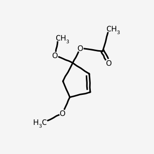 COC1C=CC(OC)(OC(C)=O)C1